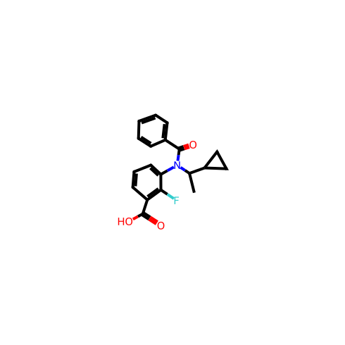 CC(C1CC1)N(C(=O)c1ccccc1)c1cccc(C(=O)O)c1F